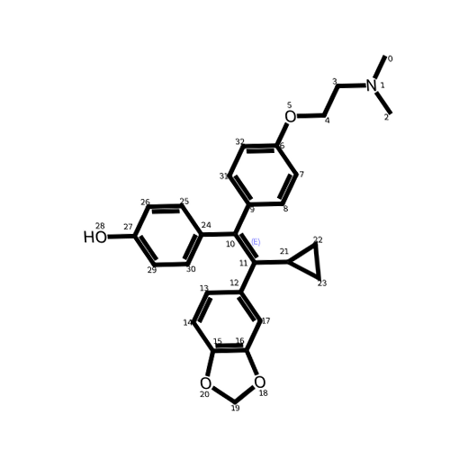 CN(C)CCOc1ccc(/C(=C(/c2ccc3c(c2)OCO3)C2CC2)c2ccc(O)cc2)cc1